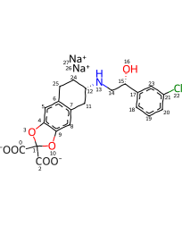 O=C([O-])C1(C(=O)[O-])Oc2cc3c(cc2O1)C[C@@H](NC[C@H](O)c1cccc(Cl)c1)CC3.[Na+].[Na+]